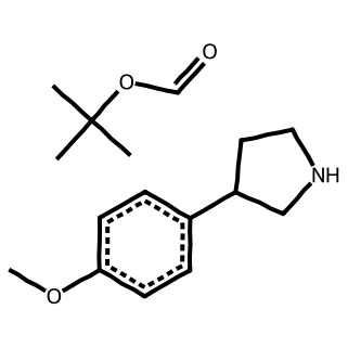 CC(C)(C)OC=O.COc1ccc(C2CCNC2)cc1